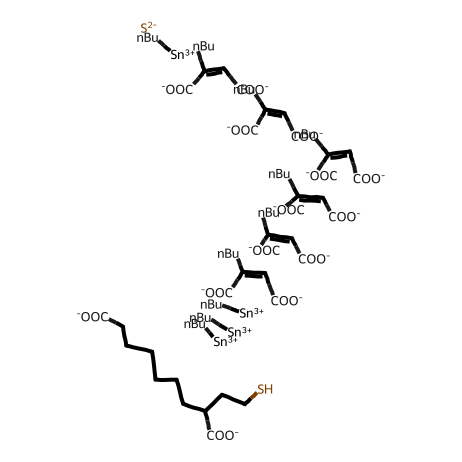 CCCC/C(=C/C(=O)[O-])C(=O)[O-].CCCC/C(=C/C(=O)[O-])C(=O)[O-].CCCC/C(=C/C(=O)[O-])C(=O)[O-].CCCC/C(=C/C(=O)[O-])C(=O)[O-].CCCC/C(=C/C(=O)[O-])C(=O)[O-].CCCC/C(=C/C(=O)[O-])C(=O)[O-].CCC[CH2][Sn+3].CCC[CH2][Sn+3].CCC[CH2][Sn+3].CCC[CH2][Sn+3].O=C([O-])CCCCCCC(CCS)C(=O)[O-].[S-2]